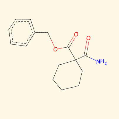 NC(=O)C1(C(=O)OCc2ccccc2)CCCCC1